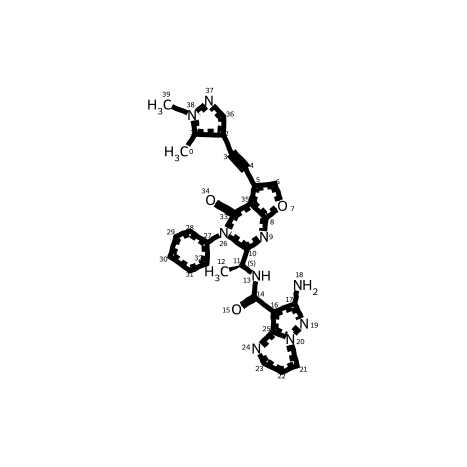 Cc1c(C#Cc2coc3nc([C@H](C)NC(=O)c4c(N)nn5cccnc45)n(-c4ccccc4)c(=O)c23)cnn1C